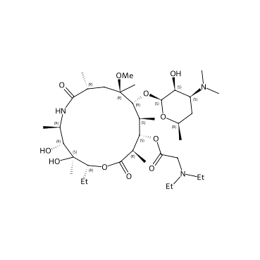 CC[C@H]1OC(=O)[C@H](C)[C@@H](OC(=O)CN(CC)CC)[C@H](C)[C@@H](O[C@@H]2O[C@H](C)C[C@H](N(C)C)[C@@H]2O)[C@](C)(OC)C[C@@H](C)C(=O)N[C@H](C)[C@@H](O)[C@]1(C)O